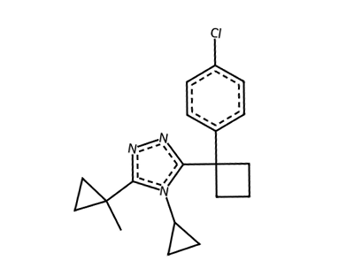 CC1(c2nnc(C3(c4ccc(Cl)cc4)CCC3)n2C2CC2)CC1